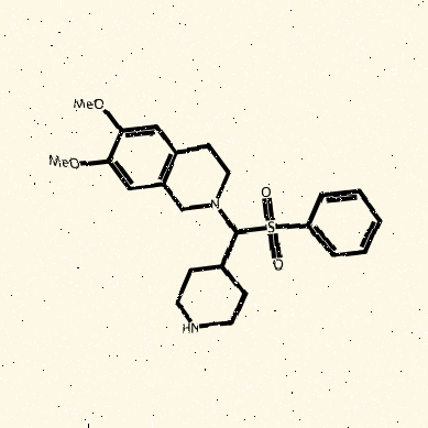 COc1cc2c(cc1OC)CN(C(C1CCNCC1)S(=O)(=O)c1ccccc1)CC2